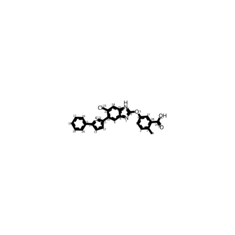 Cc1ccc(Oc2nc3cc(-c4ccc(-c5ccccc5)s4)c(Cl)cc3[nH]2)cc1C(=O)O